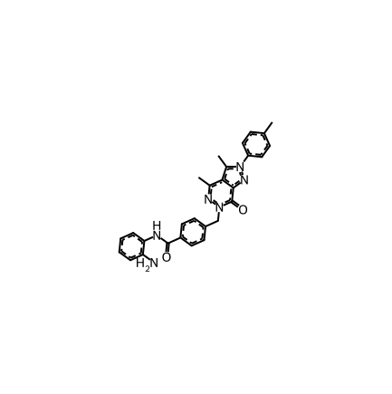 Cc1ccc(-n2nc3c(=O)n(Cc4ccc(C(=O)Nc5ccccc5N)cc4)nc(C)c3c2C)cc1